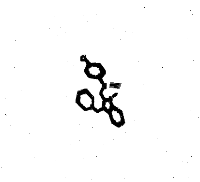 Cl.Cn1c(CSc2ccc(Cl)cc2)c(CN2CCCCC2)c2ccccc21